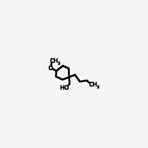 CCCCC1(CO)CCC(OC)CC1